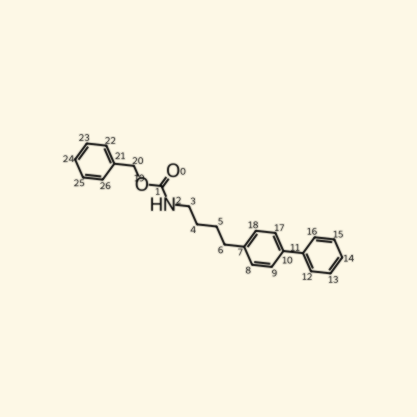 O=C(NCCCCc1ccc(-c2ccccc2)cc1)OCc1ccccc1